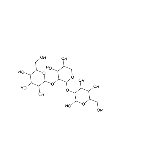 OCC1OC(OC2C(OC3C(O)OC(CO)C(O)C3O)OCC(O)C2O)C(O)C(O)C1O